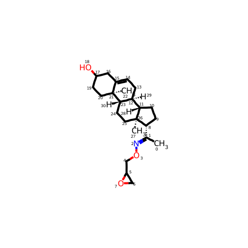 CC(=NOCC1CO1)[C@H]1CC[C@H]2[C@@H]3CC=C4CC(O)CC[C@]4(C)[C@H]3CC[C@]12C